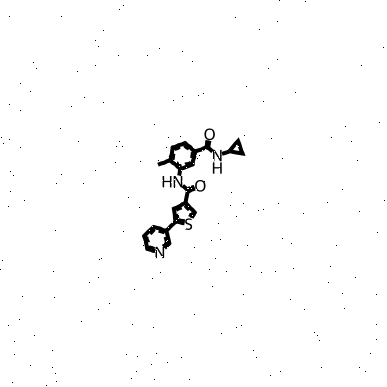 Cc1ccc(C(=O)NC2CC2)cc1NC(=O)c1csc(-c2cccnc2)c1